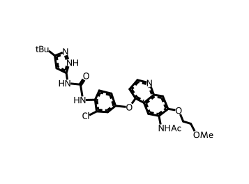 COCCOc1cc2nccc(Oc3ccc(NC(=O)Nc4cc(C(C)(C)C)n[nH]4)c(Cl)c3)c2cc1NC(C)=O